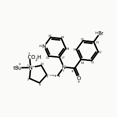 CC(C)(C)[N+]1(C(=O)O)CC[C@@H](CN(C(=O)c2ccc(Br)cc2)c2cccnc2)C1